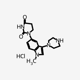 Cl.Cn1cc(N2CCNCC2)c2cc(N3CCC(=O)NC3=O)ccc21